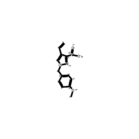 C=Cc1cn(Cc2ccc(OC)cc2)nc1[N+](=O)[O-]